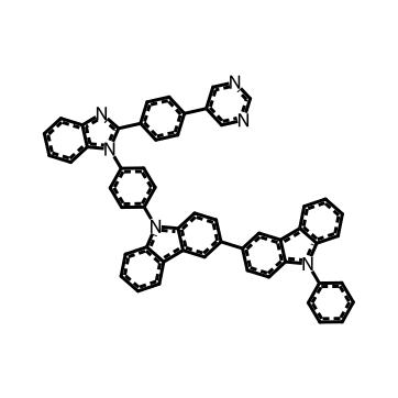 c1ccc(-n2c3ccccc3c3cc(-c4ccc5c(c4)c4ccccc4n5-c4ccc(-n5c(-c6ccc(-c7cncnc7)cc6)nc6ccccc65)cc4)ccc32)cc1